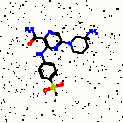 CS(=O)(=O)c1ccc(Nc2nc(N3CCC[C@@H](N)C3)cnc2C(N)=O)cc1